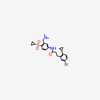 CN(C)Cc1cc(NC(=O)CCc2cc(Br)ccc2C2CC2)ccc1S(=O)(=O)C1CC1